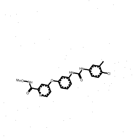 CONC(=O)c1cc(Oc2cccc(NC(=O)Nc3ccc(Cl)c(C)c3)c2)ccn1